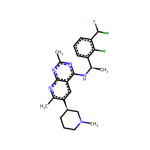 Cc1nc(N[C@H](C)c2cccc(C(F)F)c2F)c2cc([C@@H]3CCCN(C)C3)c(C)nc2n1